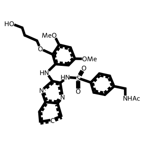 COc1cc(Nc2nc3ccccc3nc2NS(=O)(=O)c2ccc(CNC(C)=O)cc2)c(OCCCO)c(OC)c1